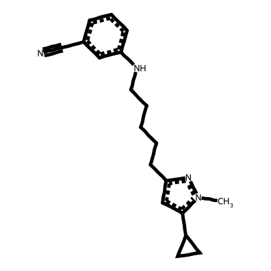 Cn1nc(CCCCCNc2cccc(C#N)c2)cc1C1CC1